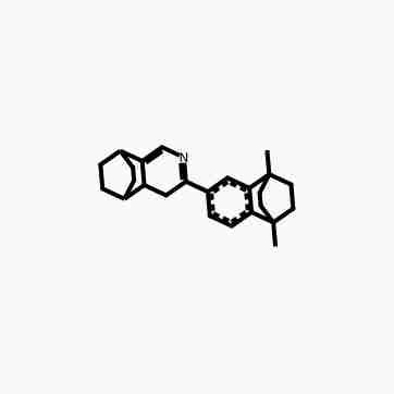 CC12CCC(C)(CC1)c1cc(C3=NC=C4C5CCC(CC5)C4C3)ccc12